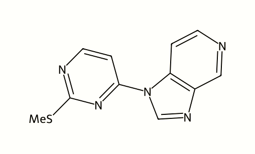 CSc1nccc(-n2cnc3cnccc32)n1